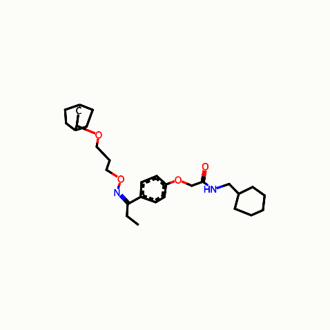 CCC(=NOCCCOC1CC2CCC1CC2)c1ccc(OCC(=O)NCC2CCCCC2)cc1